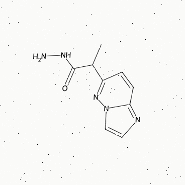 CC(C(=O)NN)c1ccc2nccn2n1